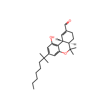 CCCCCCC(C)(C)c1cc(O)c2c(c1)OC(C)(C)[C@@H]1CCC(C=O)=C[C@@H]21